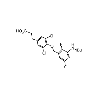 CCC(C)Nc1cc(Cl)cc(COc2c(Cl)cc(CCC(=O)O)cc2Cl)c1F